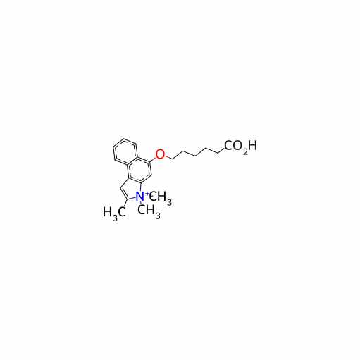 CC1=Cc2c(cc(OCCCCCC(=O)O)c3ccccc23)[N+]1(C)C